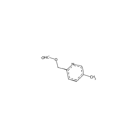 Cc1ccc(CO[C]=O)nc1